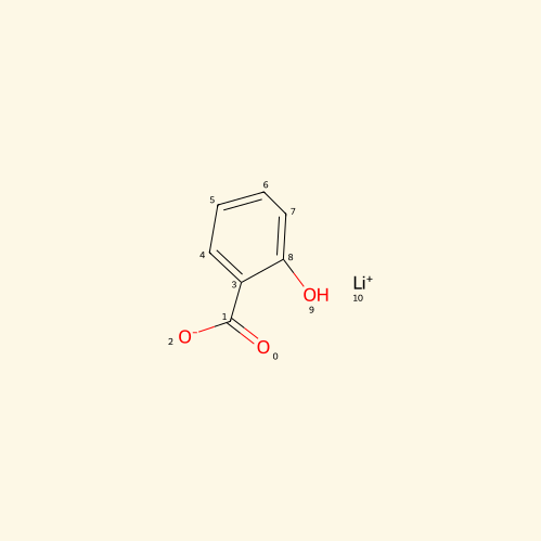 O=C([O-])c1ccccc1O.[Li+]